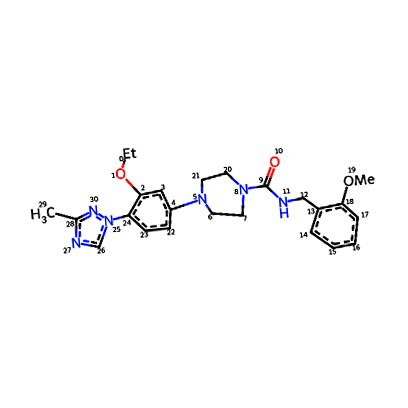 CCOc1cc(N2CCN(C(=O)NCc3ccccc3OC)CC2)ccc1-n1cnc(C)n1